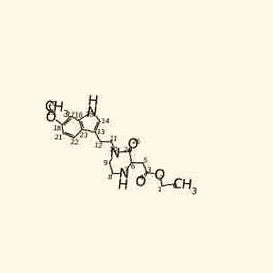 CCOC(=O)CC1NCCN(CCc2c[nH]c3cc(OC)ccc23)C1=O